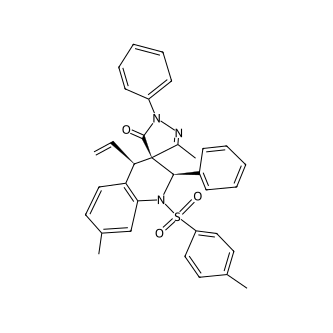 C=C[C@@H]1c2ccc(C)cc2N(S(=O)(=O)c2ccc(C)cc2)[C@H](c2ccccc2)[C@]12C(=O)N(c1ccccc1)N=C2C